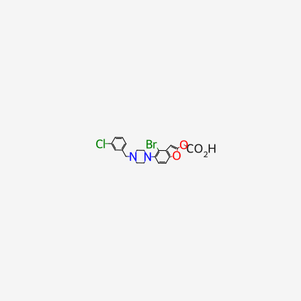 O=C(O)Oc1cc2c(Br)c(N3CCN(Cc4cccc(Cl)c4)CC3)ccc2o1